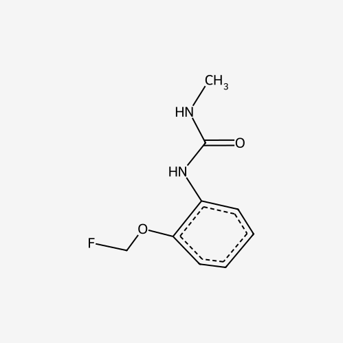 CNC(=O)Nc1ccccc1OCF